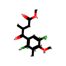 COC(=O)CC(C)C(=O)c1cc(Cl)c(OC)c(C)c1F